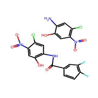 Nc1cc(Cl)c([N+](=O)[O-])cc1O.O=C(Nc1cc(Cl)c([N+](=O)[O-])cc1O)c1ccc(F)c(F)c1